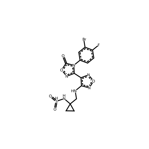 O=c1onc(-c2nonc2NCC2(N[SH](=O)=O)CC2)n1-c1ccc(F)c(Br)c1